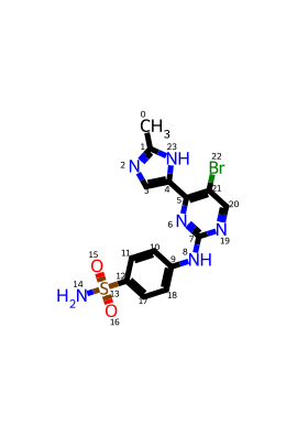 Cc1ncc(-c2nc(Nc3ccc(S(N)(=O)=O)cc3)ncc2Br)[nH]1